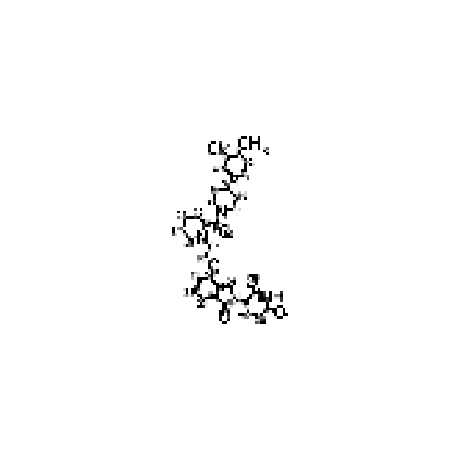 Cc1ccc(C2CCN(C(=O)C3CCCCN3CCOc3cccc4c3CN(C3CCC(=O)NC3=O)C4=O)CC2)cc1Cl